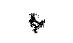 CC[C@@H](C/C=C/C(OCC(=O)N(C)C)[C@H](C)CS)CCN(CC)c1cc(C(N)=O)ccc1OCCCCc1cccc(Cl)c1